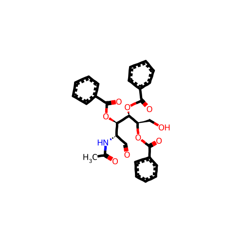 CC(=O)N[C@@H](C=O)[C@@H](OC(=O)c1ccccc1)[C@H](OC(=O)c1ccccc1)[C@@H](CO)OC(=O)c1ccccc1